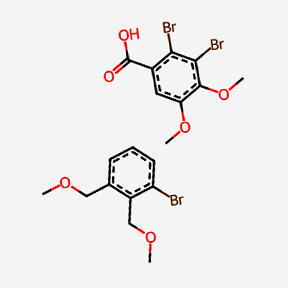 COCc1cccc(Br)c1COC.COc1cc(C(=O)O)c(Br)c(Br)c1OC